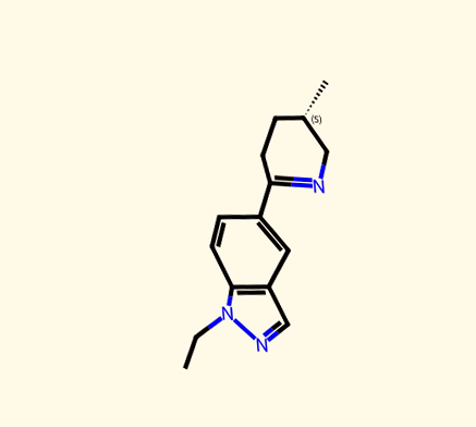 CCn1ncc2cc(C3=NC[C@@H](C)CC3)ccc21